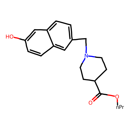 CCCOC(=O)C1CCN(Cc2ccc3cc(O)ccc3c2)CC1